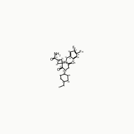 CCC1CCC(N2CC(=O)N(Cc3ccc(F)c(F)c3)C3(CN(C(N)=O)C3)C2=O)CC1